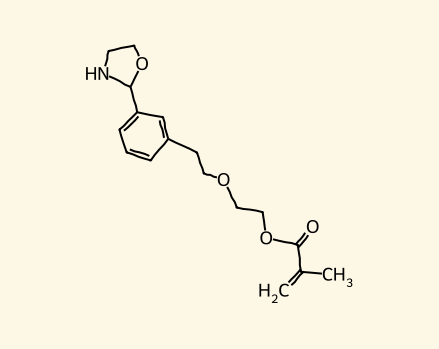 C=C(C)C(=O)OCCOCCc1cccc(C2NCCO2)c1